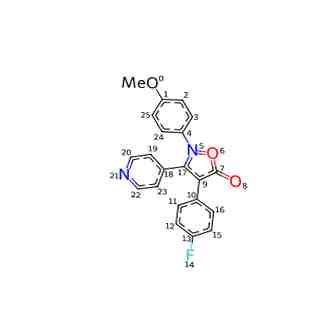 COc1ccc(-n2oc(=O)c(-c3ccc(F)cc3)c2-c2ccncc2)cc1